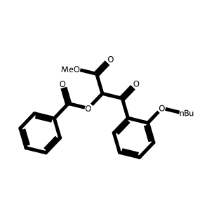 CCCCOc1ccccc1C(=O)C(OC(=O)c1ccccc1)C(=O)OC